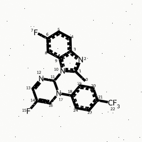 Cc1nc2ccc(F)cc2n1C1N=CC(F)=CN1c1ccc(C(F)(F)F)cc1